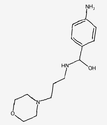 Nc1ccc(C(O)NCCCN2CCOCC2)cc1